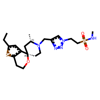 CCc1cc2c(s1)CCO[C@@]21CCN(Cc2cn(CCS(=O)(=O)NC)nn2)[C@@H](C)C1